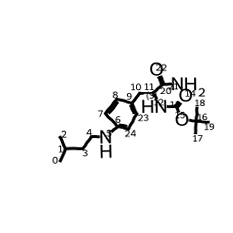 CC(C)CCNc1ccc(C[C@H](NC(=O)OC(C)(C)C)C(N)=O)cc1